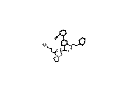 N#Cc1ccccc1-c1ccc(C(=O)NC[C@H]2CCCN2C(=O)CCCN)c(NCCc2ccccc2)n1